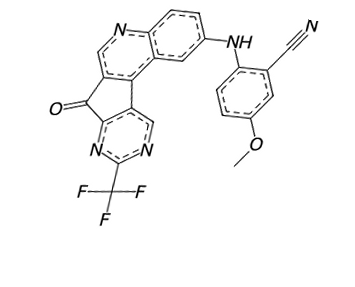 COc1ccc(Nc2ccc3ncc4c(c3c2)-c2cnc(C(F)(F)F)nc2C4=O)c(C#N)c1